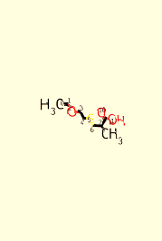 CCOCCSCC(C)C(=O)O